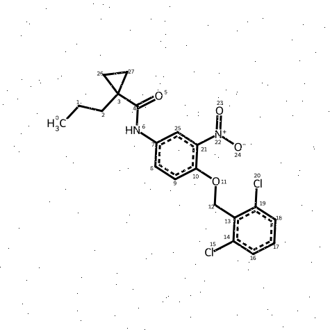 CCCC1(C(=O)Nc2ccc(OCc3c(Cl)cccc3Cl)c([N+](=O)[O-])c2)CC1